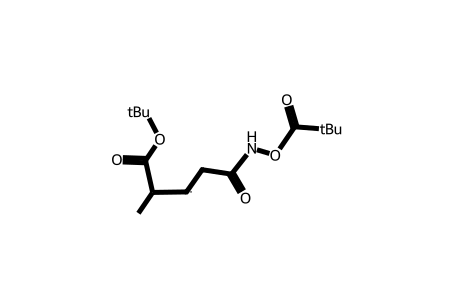 CC([CH]CC(=O)NOC(=O)C(C)(C)C)C(=O)OC(C)(C)C